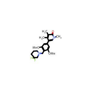 COc1cc(-c2cn(C)c(=O)c(C)c2C)cc(OC)c1CN1CCCC(F)(F)C1